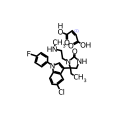 CCC1(c2cn(-c3ccc(F)cc3)c3ccc(Cl)cc23)CNC(=O)N1CCNC.O=C(O)/C=C\C(=O)O